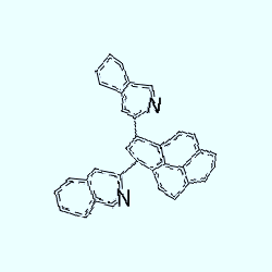 c1ccc2cc(-c3cc(-c4cc5ccccc5cn4)c4ccc5cccc6ccc3c4c65)ncc2c1